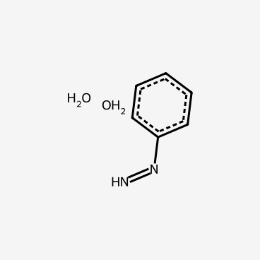 N=Nc1ccccc1.O.O